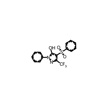 O=S(=O)(c1ccccc1)c1c(C(F)(F)F)nn(-c2ccccc2)c1O